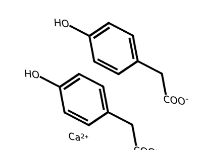 O=C([O-])Cc1ccc(O)cc1.O=C([O-])Cc1ccc(O)cc1.[Ca+2]